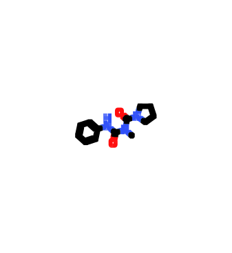 CN(C(=O)Nc1ccccc1)C(=O)N1CCCC1